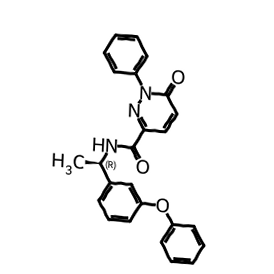 C[C@@H](NC(=O)c1ccc(=O)n(-c2ccccc2)n1)c1cccc(Oc2ccccc2)c1